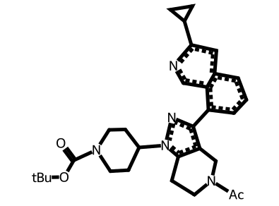 CC(=O)N1CCc2c(c(-c3cccc4cc(C5CC5)ncc34)nn2C2CCN(C(=O)OC(C)(C)C)CC2)C1